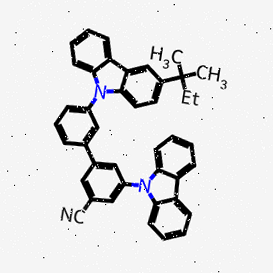 CCC(C)(C)c1ccc2c(c1)c1ccccc1n2-c1cccc(-c2cc(C#N)cc(-n3c4ccccc4c4ccccc43)c2)c1